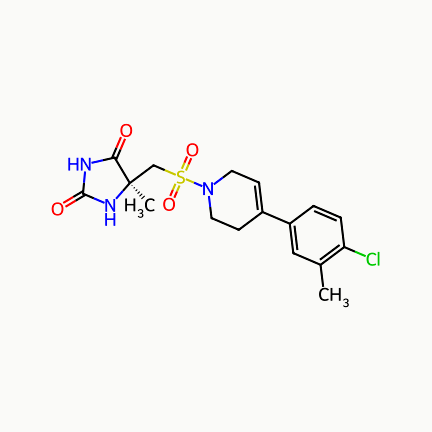 Cc1cc(C2=CCN(S(=O)(=O)C[C@@]3(C)NC(=O)NC3=O)CC2)ccc1Cl